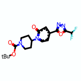 CC(C)(C)OC(=O)N1CCC(n2ccc(-c3nnc(C(F)F)o3)cc2=O)CC1